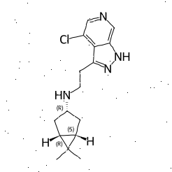 CC1(C)[C@@H]2C[C@H](NCCc3n[nH]c4cncc(Cl)c34)C[C@@H]21